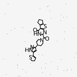 O=C(c1nc2sc3c(c2c(=O)[nH]1)CCC3)N1CCC(c2cc(C3=CCCS3)[nH]n2)CC1